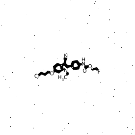 CCn1c(-c2ccc(NC(=O)OCCF)cc2)c(C#N)c2ccc(OCCCCl)cc21